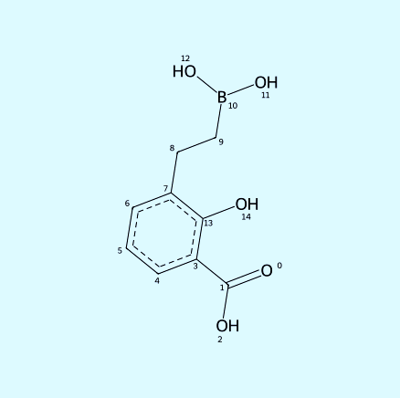 O=C(O)c1cccc(CCB(O)O)c1O